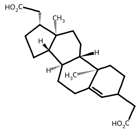 C[C@]12CC[C@H]3[C@@H](CCC4=CC(CC(=O)O)CC[C@@]43C)[C@@H]1CC[C@@H]2CC(=O)O